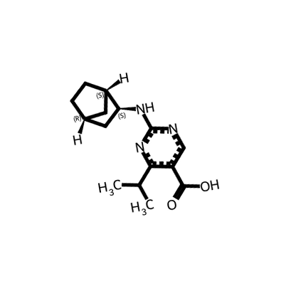 CC(C)c1nc(N[C@H]2C[C@@H]3CC[C@H]2C3)ncc1C(=O)O